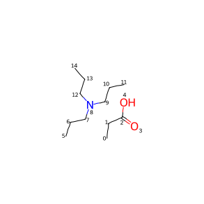 CCC(=O)O.CCCN(CCC)CCC